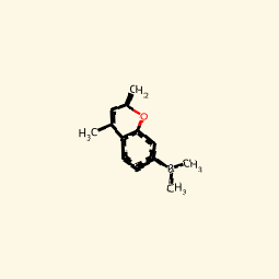 C=C1C=C(C)c2ccc(B(C)C)cc2O1